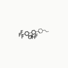 CCCC1CC=C(c2ccc(-c3ccc(C(F)(F)F)cc3O)c(F)c2F)CC1